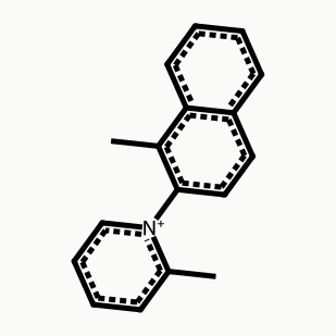 Cc1c(-[n+]2ccccc2C)ccc2ccccc12